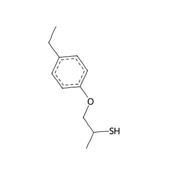 CCc1ccc(OCC(C)S)cc1